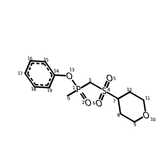 CP(=O)(CS(=O)(=O)C1CCOCC1)Oc1ccccc1